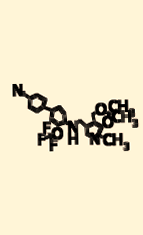 Cc1ncc(CNc2ccc(-c3ccc(C#N)cc3)cc2OC(F)(F)F)c2c1OC(C)(C)OC2